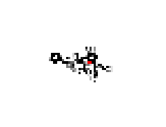 Cc1ccc(N(CCCl)CCCl)cc1C[C@](C)(NC(=O)OCc1ccccc1)C(C)C(=O)O